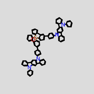 O=S12(c3ccccc3-c3cc(-c4ccc(-n5c6ccccc6c6cc7c(cc65)c5ccccc5n7-c5ccccc5)cc4)ccc31)c1ccccc1-c1cc(-c3ccc(-n4c5ccccc5c5cc6c(cc54)c4ccccc4n6-c4ccccc4)cc3)ccc12